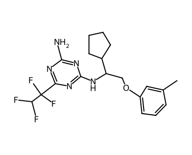 Cc1cccc(OCC(Nc2nc(N)nc(C(F)(F)C(F)F)n2)C2CCCC2)c1